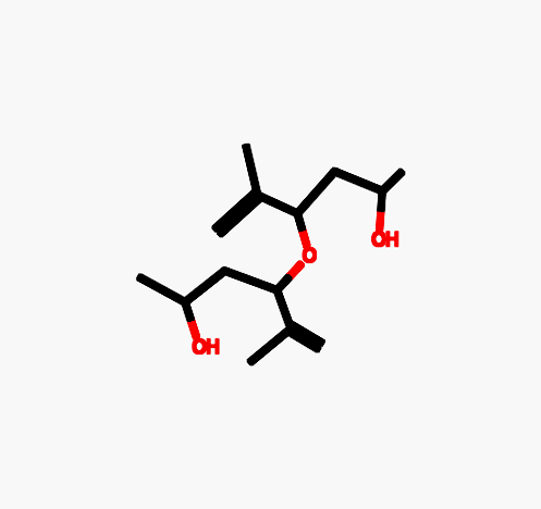 C=C(C)C(CC(C)O)OC(CC(C)O)C(=C)C